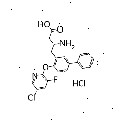 Cl.NC(CC(=O)O)Cc1cc(-c2ccccc2)ccc1Oc1ncc(Cl)cc1F